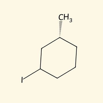 C[C@@H]1CCCC(I)C1